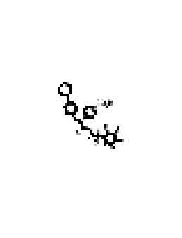 Cc1c(F)c(F)c(S(=O)(=O)N(C)CC(=O)N(Cc2ccc(C3CCCCC3)cc2)c2ccc(C(=O)O)cc2)c(F)c1F